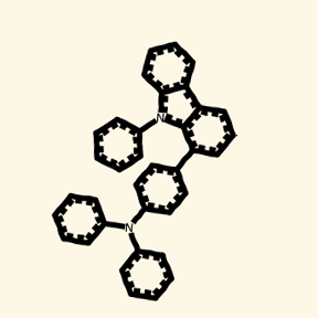 [c]1cc(-c2ccc(N(c3ccccc3)c3ccccc3)cc2)c2c(c1)c1ccccc1n2-c1ccccc1